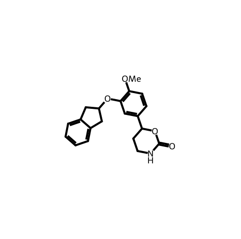 COc1ccc(C2CCNC(=O)O2)cc1OC1Cc2ccccc2C1